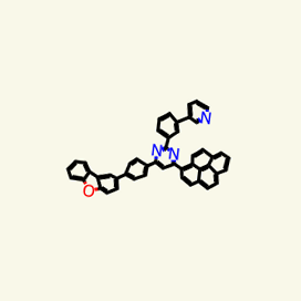 c1cncc(-c2cccc(-c3nc(-c4ccc(-c5ccc6oc7ccccc7c6c5)cc4)cc(-c4ccc5ccc6cccc7ccc4c5c67)n3)c2)c1